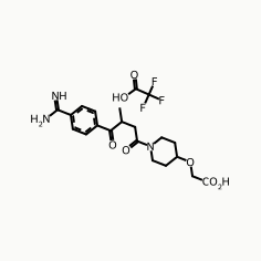 CC(CC(=O)N1CCC(OCC(=O)O)CC1)C(=O)c1ccc(C(=N)N)cc1.O=C(O)C(F)(F)F